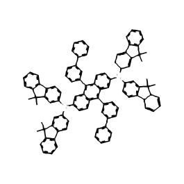 CC1(C)C2=CC(N(c3ccc4c(c3)C(C)(C)C3C=CC=CC43)c3ccc4c(-c5cccc(-c6ccccc6)c5)c5cc(N(c6ccc7c(c6)C(C)(C)c6ccccc6-7)c6ccc7c(c6)C(C)(C)c6ccccc6-7)ccc5c(-c5cccc(-c6ccccc6)c5)c4c3)CC=C2c2ccccc21